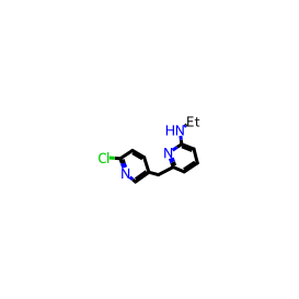 CCNc1cccc(Cc2ccc(Cl)nc2)n1